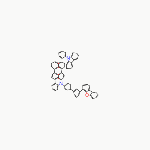 c1ccc(-c2ccc(-c3ccccc3N(c3ccc(-c4ccc(-c5ccccc5-n5c6ccccc6c6ccccc65)cc4)cc3)c3ccc(-c4cccc(-c5cccc6c5oc5ccccc56)c4)cc3)cc2)cc1